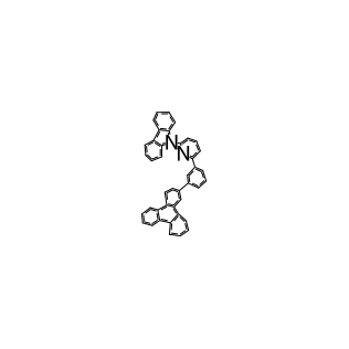 c1cc(-c2ccc3c4ccccc4c4ccccc4c3c2)cc(-c2cccc(-n3c4ccccc4c4ccccc43)n2)c1